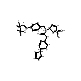 CC1(C)OB(c2ccc(CN(C(=O)Cc3ccc(-n4cccc4)cc3)C3C=CS(=O)(=O)C3)cc2)OC1(C)C